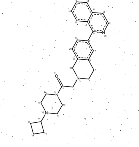 O=C(CN1CCc2cc(-c3nccc4ccccc34)ccc2C1)N1CCN(C2CCC2)CC1